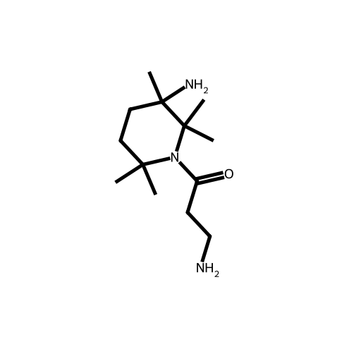 CC1(C)CCC(C)(N)C(C)(C)N1C(=O)CCN